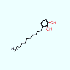 CCCCCCCCCCc1cccc(O)c1O